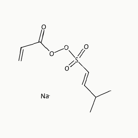 C=CC(=O)OOS(=O)(=O)C=CC(C)C.[Na]